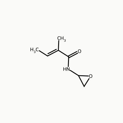 CC=C(C)C(=O)NC1CO1